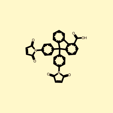 O=C(O)c1cccc2c1-c1ccccc1C2(c1ccc(N2C(=O)C=CC2=O)cc1)c1ccc(N2C(=O)C=CC2=O)cc1